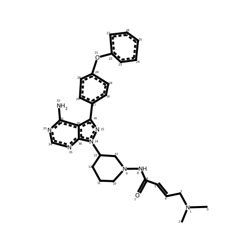 CN(C)CC=CC(=O)NN1CCCC(n2nc(-c3ccc(Oc4ccccc4)cc3)c3c(N)ncnc32)C1